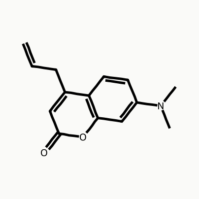 C=CCc1cc(=O)oc2cc(N(C)C)ccc12